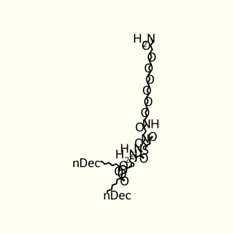 CCCCCCCCCCCCCCCC(=O)OCC(CSCC(N)C(=O)C(N)SC1CC(=O)N(CCC(=O)NCCOCCOCCOCCOCCOCCOCCC(=O)CN)C1=O)OC(=O)CCCCCCCCCCCCCCC